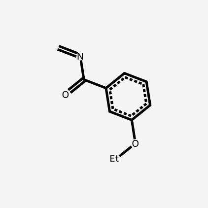 C=NC(=O)c1cccc(OCC)c1